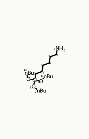 CCCCO[Si](CCCCCCN)(OCCCC)OCCCC